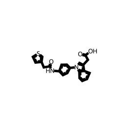 O=C(O)Cc1cn(-c2ccc(NC(=O)Cc3ccsc3)cc2)c2ccccc12